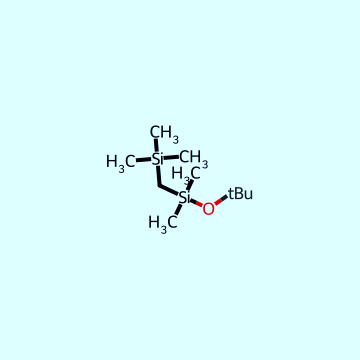 CC(C)(C)O[Si](C)(C)C[Si](C)(C)C